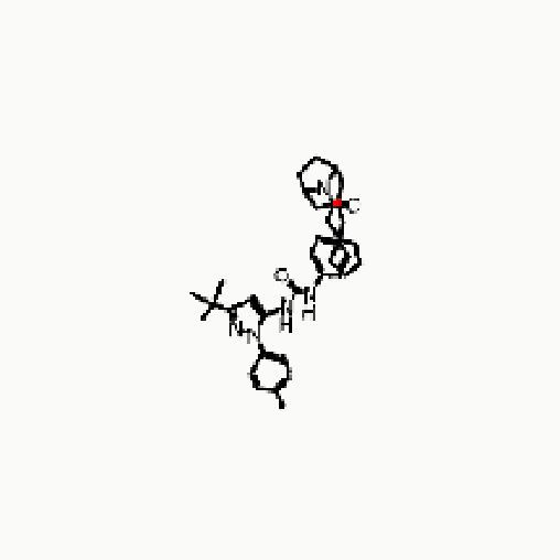 Cc1ccc(-n2nc(C(C)(C)C)cc2NC(=O)Nc2ccc(CC3CC4CCC(C3)N4C(=O)CC3CCCC3)cc2)cc1